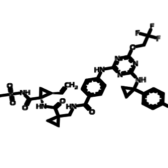 C=C[C@@H]1C[C@]1(NC(=O)C1(CNC(=O)c2ccc(Nc3nc(NC4(c5ccc(Cl)cc5)CC4)nc(OCC(F)(F)F)n3)cc2)CC1)C(=O)NS(=O)(=O)C1CC1